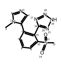 Cn1cncc1-c1cccc(S(C)(=O)=O)c1-c1nn[nH]n1